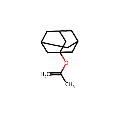 C=C(C)OC12CC3CC(CC(C3)C1)C2